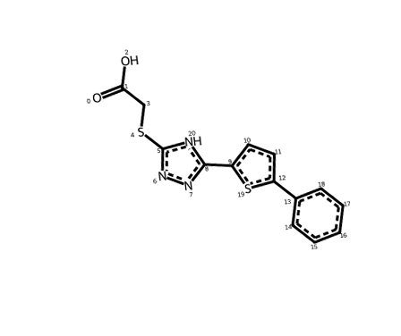 O=C(O)CSc1nnc(-c2ccc(-c3ccccc3)s2)[nH]1